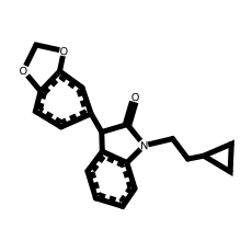 O=C1C(c2ccc3c(c2)OCO3)c2ccccc2N1CCC1CC1